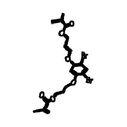 C=C(C)C(=O)OCCCOc1cc(OCCCOC(=O)C(=C)C)c(Br)cc1Br